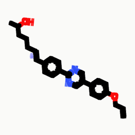 C=CCOc1ccc(-c2cnc(-c3ccc(/C=C/CCCC(C)O)cc3)nc2)cc1